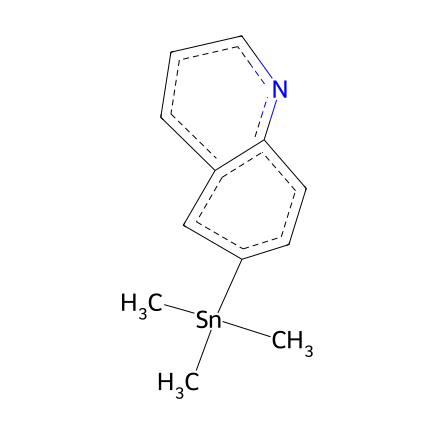 [CH3][Sn]([CH3])([CH3])[c]1ccc2ncccc2c1